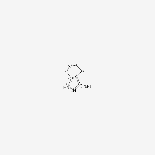 CCc1n[nH]c2c1CCSC2